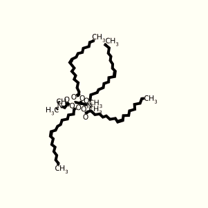 CCCCCCCC/C=C\CCCCCCCCOC(COC(=O)CN(C)C)(OC(=O)CCCCCCC/C=C\CCCCCCCC)C(OCCCCCCCC/C=C\CCCCCCCC)(OC(=O)CCCCCCC/C=C\CCCCCCCC)N(C)C